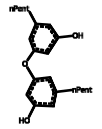 CCCCCc1cc(O)cc(Oc2cc(O)cc(CCCCC)c2)c1